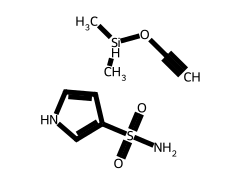 C#CO[SiH](C)C.NS(=O)(=O)c1cc[nH]c1